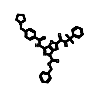 CC(C)(NC(=O)c1cc2c(o1)c(NC(=O)c1ccc(CN3CCCC3)cc1)nn2C(=O)OCc1ccccc1)c1ccccc1